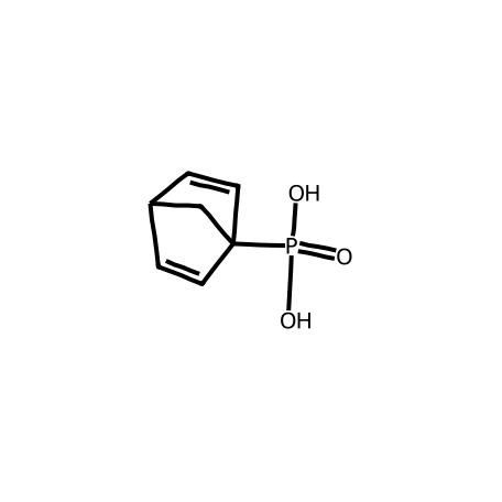 O=P(O)(O)C12C=CC(C=C1)C2